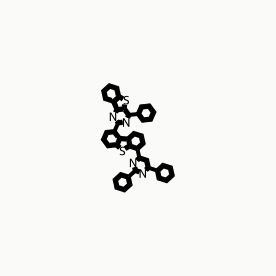 c1ccc(-c2cc(-c3cccc4c3sc3cccc(-c5nc(-c6ccccc6)c6sc7ccccc7c6n5)c34)nc(-c3ccccc3)n2)cc1